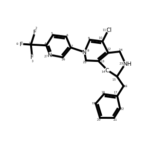 FC(F)(F)c1ccc(N2C=C(Cl)C3=C(CC(Cc4ccccc4)NC3)C2)cn1